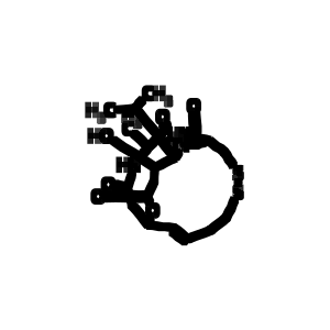 CC1NC(=O)CC2/C=C/CCSSCC(NC1=O)C(=O)NC(C(C)C)C(O)CC(=O)O2